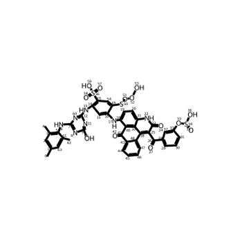 Cc1cc(C)c(Nc2nc(O)nc(Nc3cc(Nc4ccc5[nH]c(=O)c(C(=O)c6cccc(OS(=O)O)c6)c6c5c4C(=O)c4ccccc4-6)c(SOOO)cc3S(=O)(=O)O)n2)c(C)c1